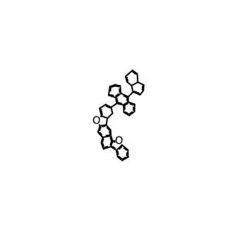 C1=CC2C=CC=C(c3c4ccccc4c(C4=CC=C5Oc6cc7ccc8c9ccccc9oc8c7cc6C5C4)c4ccccc34)C2C=C1